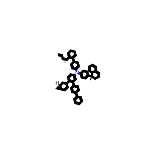 C=C/C=C\C1=CCCC=C1C1C=CC(N(C2=CC=C([C@@]3(C)CCC=C4C=CC=CC43)CC2)c2ccc(C3C=CC4C[C@H]4C3)c(-c3ccc(-c4ccccc4)cc3)c2)=CC1